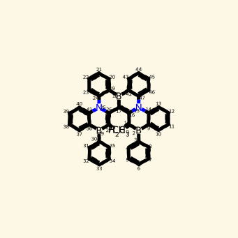 C=C1B(c2ccccc2)c2ccccc2N2C1=C1B(c3ccccc3N3C1=C(C)B(c1ccccc1)c1ccccc13)c1ccccc12